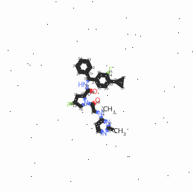 Cc1nccc(N(C)CC(=O)N2CC(F)CC2C(=O)NC(c2ccccc2)c2ccc(C3CC3)c(F)c2)n1